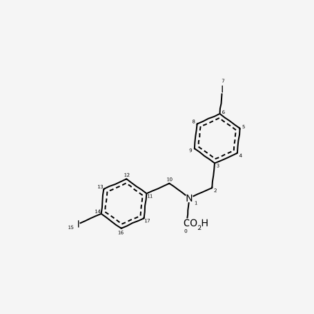 O=C(O)N(Cc1ccc(I)cc1)Cc1ccc(I)cc1